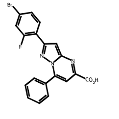 O=C(O)c1cc(-c2ccccc2)n2nc(-c3ccc(Br)cc3F)cc2n1